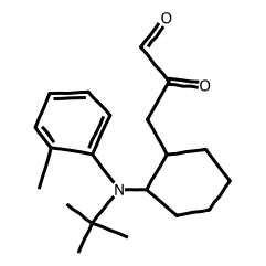 Cc1ccccc1N(C1CCCCC1CC(=O)C=O)C(C)(C)C